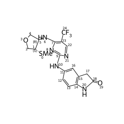 CS[C@@H]1COC[C@H]1Nc1nc(Nc2ccc3c(c2)CC(=O)N3)ncc1C(F)(F)F